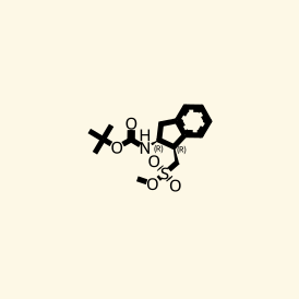 COS(=O)(=O)C[C@@H]1c2ccccc2C[C@H]1NC(=O)OC(C)(C)C